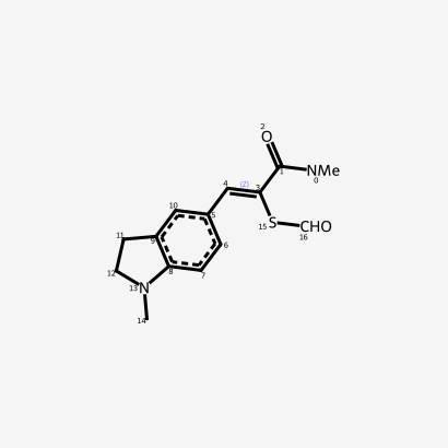 CNC(=O)/C(=C/c1ccc2c(c1)CCN2C)SC=O